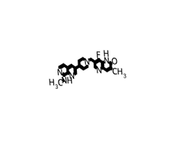 CNc1nccc2cc(C3=CCN(Cc4cnc5cc(C)c(=O)[nH]c5c4F)CC3)cnc12